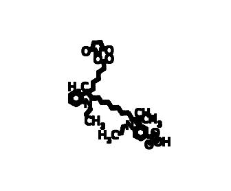 CCCN1\C(=C/C=C/C=C/C=C/C2=[N+](CCC)c3ccc(S(=O)(=O)O)cc3C2(C)C)C(C)(CCCCCC(=O)ON2C(=O)CCC2=O)c2ccccc21